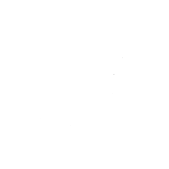 CCOC1CC2(CCC2)Oc2c(C)c(C)c(O)c(C)c21